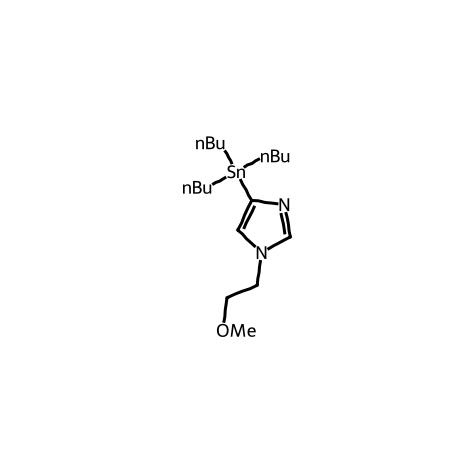 CCC[CH2][Sn]([CH2]CCC)([CH2]CCC)[c]1cn(CCOC)cn1